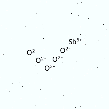 [O-2].[O-2].[O-2].[O-2].[O-2].[Sb+5]